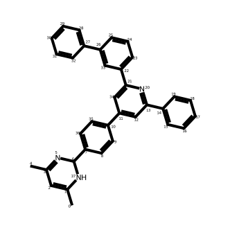 CC1=CC(C)=NC(c2ccc(-c3cc(-c4ccccc4)nc(-c4cccc(-c5ccccc5)c4)c3)cc2)N1